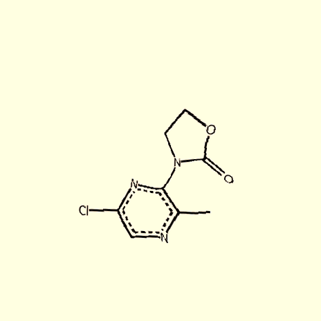 Cc1ncc(Cl)nc1N1CCOC1=O